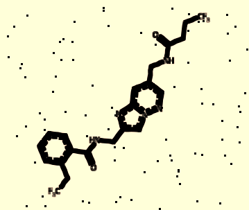 O=C(CCC(F)(F)F)NCc1cnn2cc(CNC(=O)c3ccccc3CC(F)(F)F)nc2c1